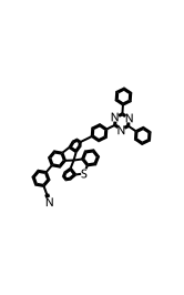 N#Cc1cccc(-c2ccc3c(c2)C2(c4ccccc4Sc4ccccc42)c2cc(-c4ccc(-c5nc(-c6ccccc6)nc(-c6ccccc6)n5)cc4)ccc2-3)c1